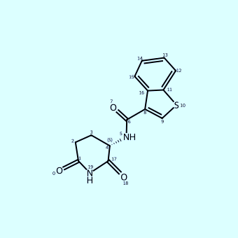 O=C1CC[C@H](NC(=O)c2csc3ccccc23)C(=O)N1